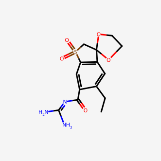 CCc1cc2c(cc1C(=O)N=C(N)N)S(=O)(=O)CC21OCCO1